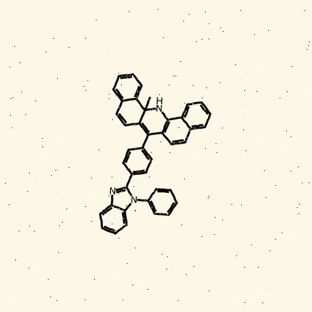 CC12Nc3c(ccc4ccccc34)C(c3ccc(-c4nc5ccccc5n4-c4ccccc4)cc3)=C1C=Cc1ccccc12